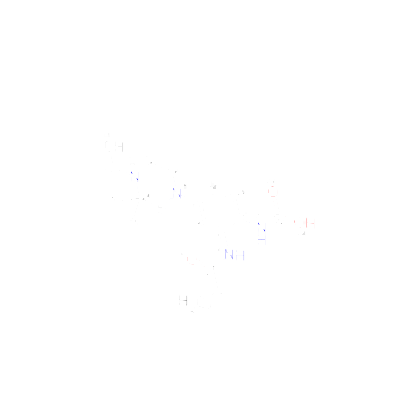 C=CC(=O)Nc1cc(N2CCN(CC)C3(CC3)C2)ccc1NC(=O)O